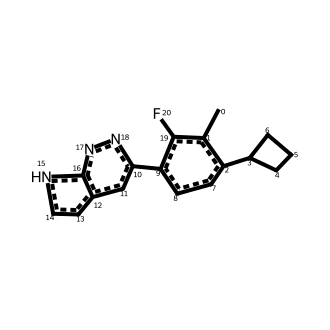 Cc1c(C2CCC2)ccc(-c2cc3cc[nH]c3nn2)c1F